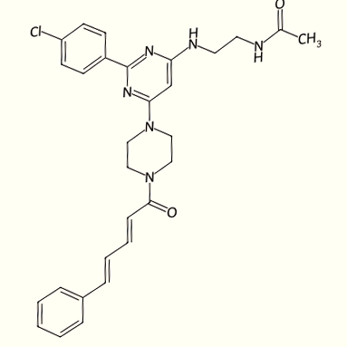 CC(=O)NCCNc1cc(N2CCN(C(=O)/C=C/C=C/c3ccccc3)CC2)nc(-c2ccc(Cl)cc2)n1